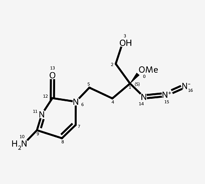 CO[C@](CO)(CCn1ccc(N)nc1=O)N=[N+]=[N-]